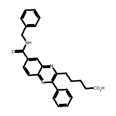 O=C(O)CCCCc1nc2cc(C(=O)NCc3ccccc3)ccc2nc1-c1ccccc1